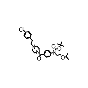 CC(C)OCCN(C(=O)OC(C)(C)C)c1ccc(C(=O)N2CCN(CCc3ccc(Cl)cc3)CC2)cc1